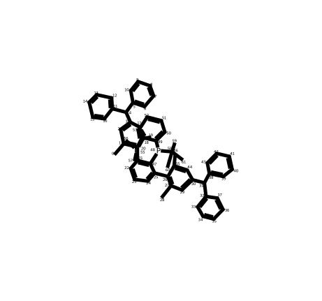 Cc1cc(C(c2ccccc2)c2ccccc2)cc(C)c1-c1cccc(-c2c(C)cc(C(c3ccccc3)c3ccccc3)cc2C)c1P(c1ccccc1N(C)C)C(C)(C)C